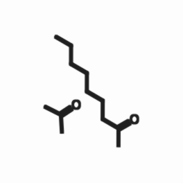 CC(C)=O.CCCCCCCC(C)=O